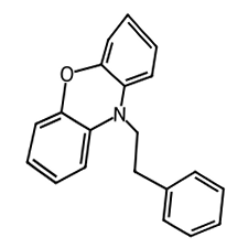 c1ccc(CCN2c3ccccc3Oc3ccccc32)cc1